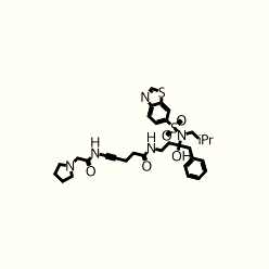 CC(C)CN(C(O)(CCNC(=O)CCC#CNC(=O)CN1CCCC1)Cc1ccccc1)S(=O)(=O)c1ccc2ncsc2c1